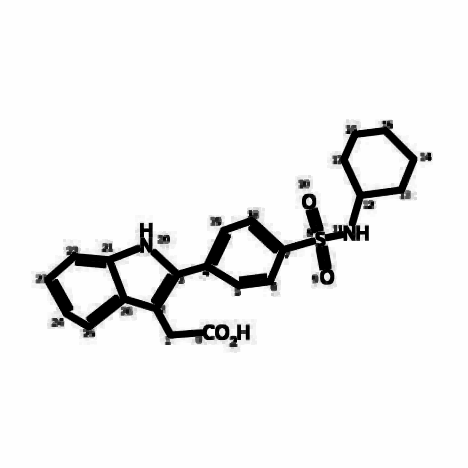 O=C(O)Cc1c(-c2ccc(S(=O)(=O)NC3CCCCC3)cc2)[nH]c2ccccc12